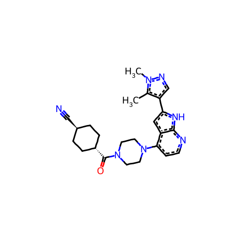 Cc1c(-c2cc3c(N4CCN(C(=O)[C@H]5CC[C@H](C#N)CC5)CC4)ccnc3[nH]2)cnn1C